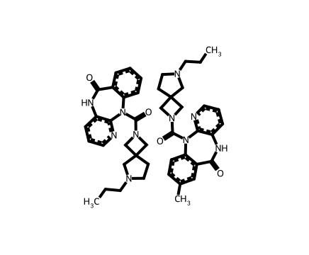 CCCN1CCC2(C1)CN(C(=O)N1c3ccc(C)cc3C(=O)Nc3cccnc31)C2.CCCN1CCC2(C1)CN(C(=O)N1c3ccccc3C(=O)Nc3cccnc31)C2